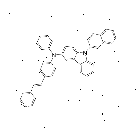 C(=C\c1ccc(N(c2ccccc2)c2ccc3c(c2)c2ccccc2n3-c2ccc3ccccc3c2)cc1)/c1ccccc1